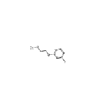 CCOCCOc1[c]ccc(F)c1